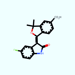 CC1(C)O/C(=C2/C(=O)Nc3ccc(F)cc32)c2ccc(C(=O)O)cc21